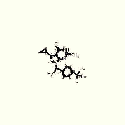 Cc1nc2c(c(C3CC3)nn2C(C)c2ccc(C(F)(F)F)cc2)c(=O)[nH]1